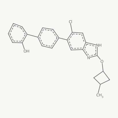 CC1CC(Oc2nc3cc(-c4ccc(-c5ccccc5O)cc4)c(Cl)cc3[nH]2)C1